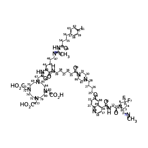 C/N=C/[C@H]1CC(F)(F)CN1C(=O)CNC(=O)c1ccnc2ccc(OCCCCN3CCN(C(=O)CCCCCNC(=O)[C@H](CCCC/N=C(\C)NC(=O)CCCc4ccc(I)cc4)NC(=O)CN4CCN(CC(=O)O)CCN(CC(=O)O)CCN(CC(=O)O)CC4)CC3)cc12